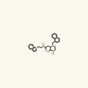 O=C(CC1C(=O)NCCN1Cc1cccc2ccccc12)NCCn1ccc2ccccc21